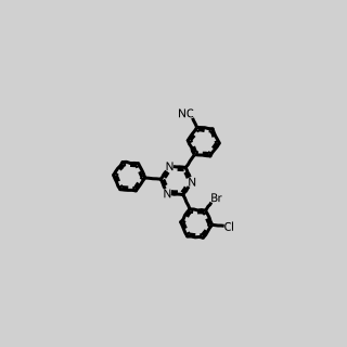 N#Cc1cccc(-c2nc(-c3ccccc3)nc(-c3cccc(Cl)c3Br)n2)c1